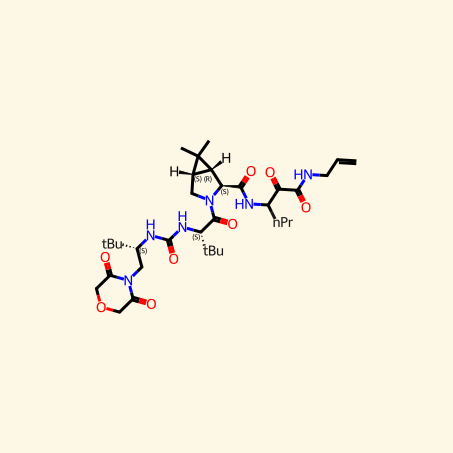 C=CCNC(=O)C(=O)C(CCC)NC(=O)[C@@H]1[C@@H]2[C@H](CN1C(=O)[C@@H](NC(=O)N[C@H](CN1C(=O)COCC1=O)C(C)(C)C)C(C)(C)C)C2(C)C